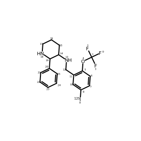 FC(F)(F)Oc1ccc([125I])cc1CNC1CCCNC1c1ccccc1